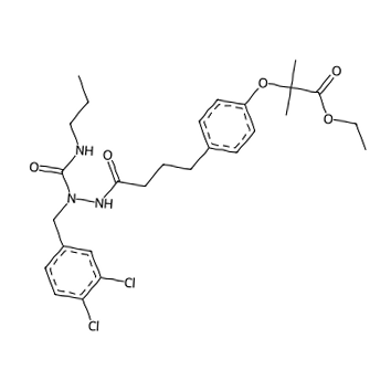 CCCNC(=O)N(Cc1ccc(Cl)c(Cl)c1)NC(=O)CCCc1ccc(OC(C)(C)C(=O)OCC)cc1